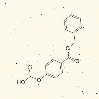 O=C(OCc1ccccc1)c1ccc(OC(O)Cl)cc1